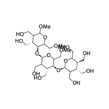 COCC1O[C@H](O[C@@H]2C(COC)O[C@H](O[C@@H]3C(COC)OC(OC)C(CO)[C@H]3CO)C(CO)[C@H]2CO)C(CO)[C@@H](CO)[C@@H]1CO